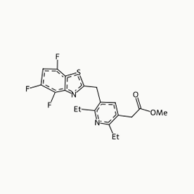 CCc1nc(CC)c(Cc2nc3c(F)c(F)cc(F)c3s2)cc1CC(=O)OC